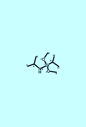 CO[Si](NC(C)C)(OC)C(C)C